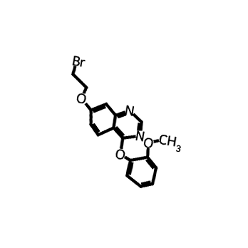 COc1ccccc1Oc1ncnc2cc(OCCBr)ccc12